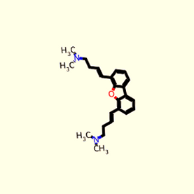 CN(C)CC/C=C/c1cccc2c1oc1c(/C=C/CCN(C)C)cccc12